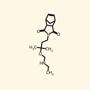 CCNCOC(C)(C)CCN1C(=O)C2C3C=CC(C3)C2C1=O